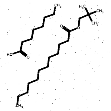 CCCCCCCC(=O)O.CCCCCCCCCCCC(=O)OCC(C)(C)C